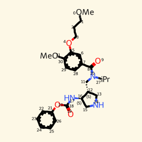 COCCCOc1cc(C(=O)N(C[C@@H]2CNC[C@H]2NC(=O)Oc2ccccc2)C(C)C)ccc1OC